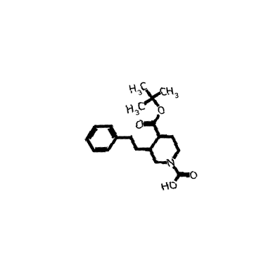 CC(C)(C)OC(=O)C1CCN(C(=O)O)CC1CCc1ccccc1